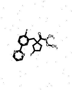 CON(C)C(=O)C1(Cc2cc(-c3ncccn3)ccc2F)CCC(F)C1